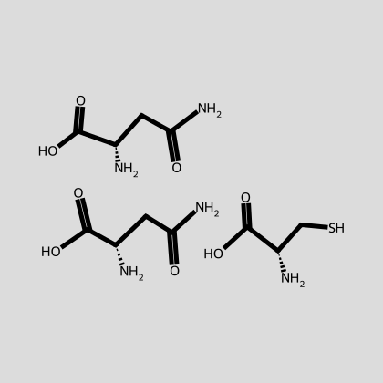 NC(=O)C[C@H](N)C(=O)O.NC(=O)C[C@H](N)C(=O)O.N[C@@H](CS)C(=O)O